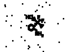 Cl.FC(F)C(F)(C1CC1)C1CC1.NCc1ccccc1